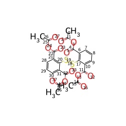 CC(=O)OC(=O)c1cccc(C(=O)OC(C)=O)c1SSc1c(C(=O)OC(C)=O)cccc1C(=O)OC(C)=O